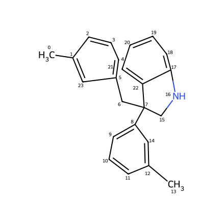 Cc1cccc(CC2(c3cccc(C)c3)CNc3ccccc32)c1